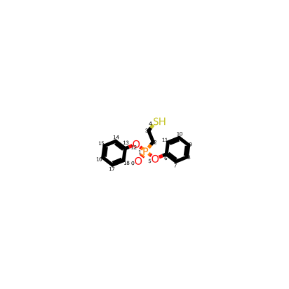 O=P(CCS)(Oc1ccccc1)Oc1ccccc1